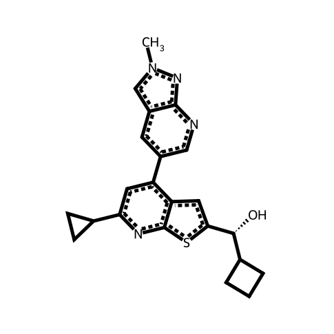 Cn1cc2cc(-c3cc(C4CC4)nc4sc([C@H](O)C5CCC5)cc34)cnc2n1